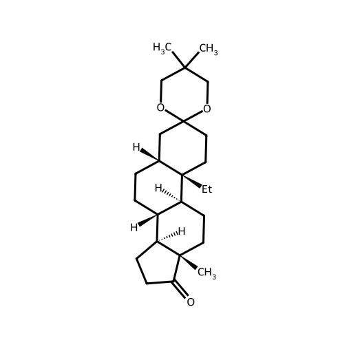 CC[C@]12CCC3(C[C@H]1CC[C@@H]1[C@@H]2CC[C@]2(C)C(=O)CC[C@@H]12)OCC(C)(C)CO3